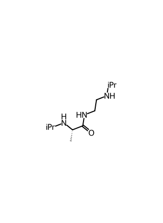 CC(C)NCCNC(=O)[C@H](C)NC(C)C